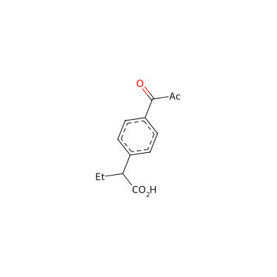 CCC(C(=O)O)c1ccc(C(=O)C(C)=O)cc1